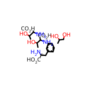 CC(O)C(N)C(=O)O.CC(O)C(N)C(=O)O.CC(O)CO.N[C@@H](Cc1ccccc1)C(=O)O